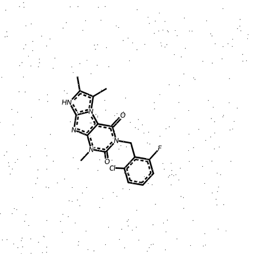 Cc1[nH]c2nc3c(c(=O)n(Cc4c(F)cccc4Cl)c(=O)n3C)n2c1C